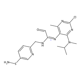 Cc1nc(Cl)nc(N(C)C(C)C)c1/N=C(\C=O)NCc1ccc(SN)cn1